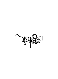 CCCCc1csc(NS(=O)(=O)c2cccc(Cl)c2S(C)(=O)=O)n1